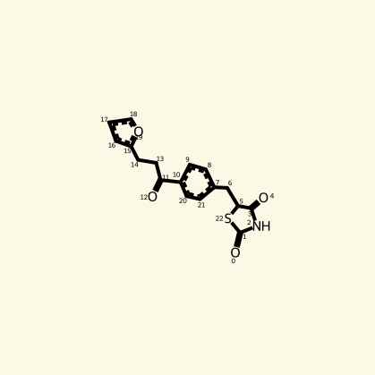 O=C1NC(=O)C(Cc2ccc(C(=O)CCc3ccco3)cc2)S1